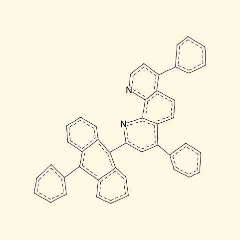 c1ccc(-c2c3ccccc3c(-c3cc(-c4ccccc4)c4ccc5c(-c6ccccc6)ccnc5c4n3)c3ccccc23)cc1